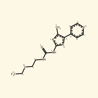 Cc1nc(NC(=O)NCCOCC(F)(F)F)sc1-c1ccncc1